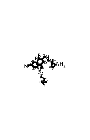 C[Si](C)(C)CCOCn1cc(-c2nc(N[C@H]3CC[C@@H]3N)ncc2C(F)(F)F)c2ccc(C#N)cc21